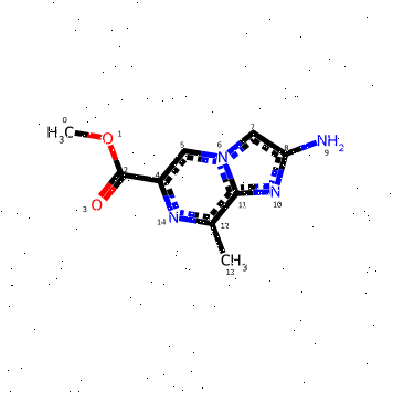 COC(=O)c1cn2cc(N)nc2c(C)n1